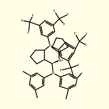 Cc1cc(C)cc(P(c2cc(C)cc(C)c2)[C@H](NC2CCCC2)C2CCCC2P(c2cc(C(F)(F)F)cc(C(F)(F)F)c2)c2cc(C(F)(F)F)cc(C(F)(F)F)c2)c1